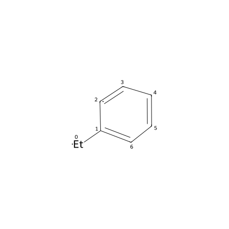 C[CH]c1[c]cccc1